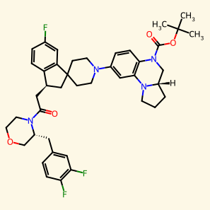 CC(C)(C)OC(=O)N1C[C@@H]2CCCN2c2cc(N3CCC4(CC3)C[C@@H](CC(=O)N3CCOC[C@H]3Cc3ccc(F)c(F)c3)c3ccc(F)cc34)ccc21